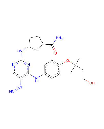 CC(C)(CCO)Oc1ccc(Nc2nc(N[C@@H]3CC[C@@H](C(N)=O)C3)ncc2N=N)cc1